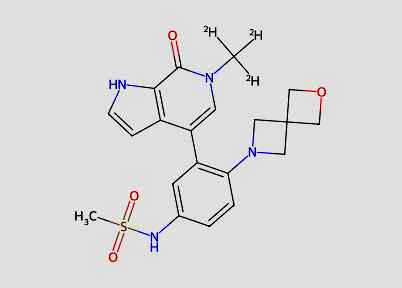 [2H]C([2H])([2H])n1cc(-c2cc(NS(C)(=O)=O)ccc2N2CC3(COC3)C2)c2cc[nH]c2c1=O